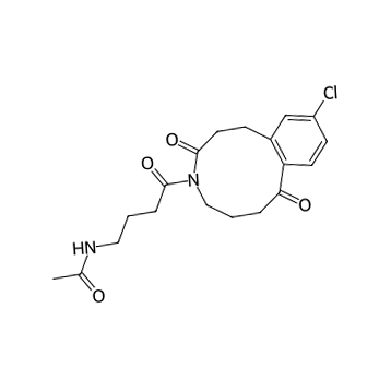 CC(=O)NCCCC(=O)N1CCCC(=O)c2ccc(Cl)cc2CCC1=O